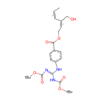 C/C=C\C(=C/COC(=O)c1ccc(NC(=NC(=O)OC(C)(C)C)NC(=O)OC(C)(C)C)cc1)CO